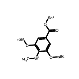 CBc1c(OCCCC)cc(C(=O)OC(C)(C)C)cc1OCCCC